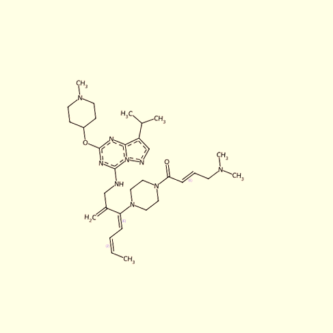 C=C(CNc1nc(OC2CCN(C)CC2)nc2c(C(C)C)cnn12)/C(=C\C=C/C)N1CCN(C(=O)/C=C/CN(C)C)CC1